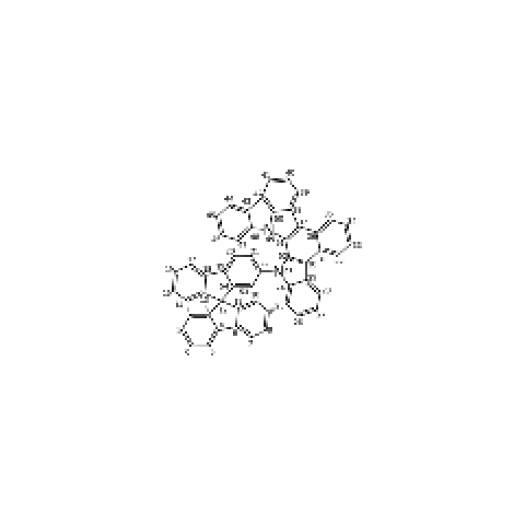 c1ccc2c(c1)-c1ccccc1C21c2ccccc2-c2ccc(-n3c4ccccc4c4c5ccccc5c5c6cccc7c8ccccc8n(c76)c5c43)cc21